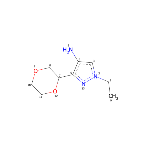 CCn1cc(N)c(C2COCCO2)n1